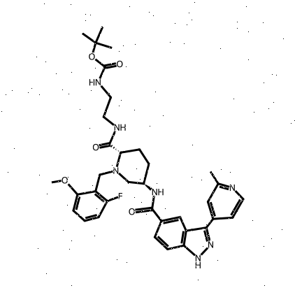 COc1cccc(F)c1CN1C[C@H](NC(=O)c2ccc3[nH]nc(-c4ccnc(C)c4)c3c2)CC[C@H]1C(=O)NCCNC(=O)OC(C)(C)C